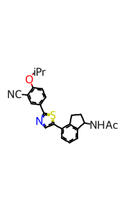 CC(=O)NC1CCc2c(-c3cnc(-c4ccc(OC(C)C)c(C#N)c4)s3)cccc21